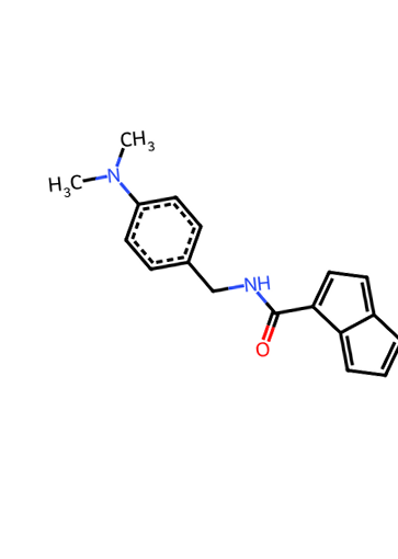 CN(C)c1ccc(CNC(=O)C2=CC=C3C=CC=C32)cc1